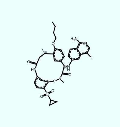 CCCCOc1ccc2cc1[C@@H](C)CC(=O)Nc1ccc(S(=O)(=O)C3CC3)c(c1)CN(C)C(=O)[C@@H]2Nc1ccc2c(N)ncc(F)c2c1